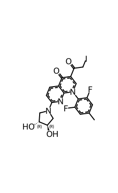 Cc1cc(F)c(-n2cc(C(=O)CI)c(=O)c3ccc(N4C[C@@H](O)[C@H](O)C4)nc32)c(F)c1